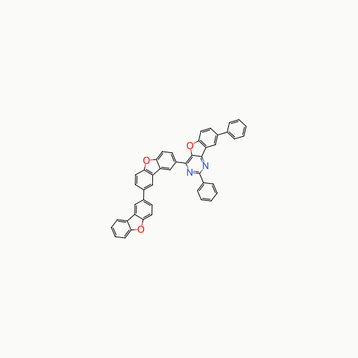 c1ccc(-c2ccc3oc4c(-c5ccc6oc7ccc(-c8ccc9oc%10ccccc%10c9c8)cc7c6c5)nc(-c5ccccc5)nc4c3c2)cc1